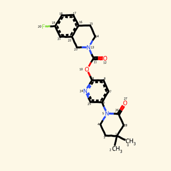 CC1(C)CCN(c2ccc(OC(=O)N3CCc4ccc(F)cc4C3)nc2)C(=O)C1